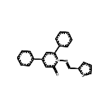 O=c1cc(-c2ccccc2)cc(-c2ccccc2)n1N=Cc1ccco1